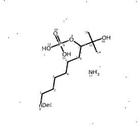 CCCCCCCCCCCCCCCCC(OP(=O)(O)O)C(C)(C)O.N